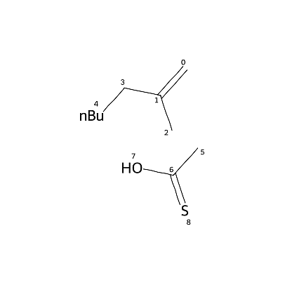 C=C(C)CCCCC.CC(O)=S